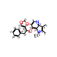 CCn1c(C)c(C)c2nccc(OC(Cc3ccccc3)C3=COCO3)c21